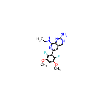 CCNc1nc(-c2c(F)c(OC)cc(OC)c2F)cc2cnc(N)nc12